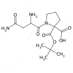 CC(C)(C)OC(=O)C1(C(=O)O)CCCN1C(=O)C(N)CC(N)=O